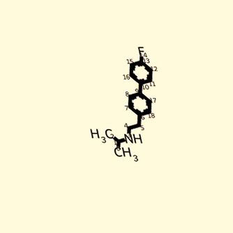 CC(C)NCCc1ccc(-c2ccc(F)cc2)cc1